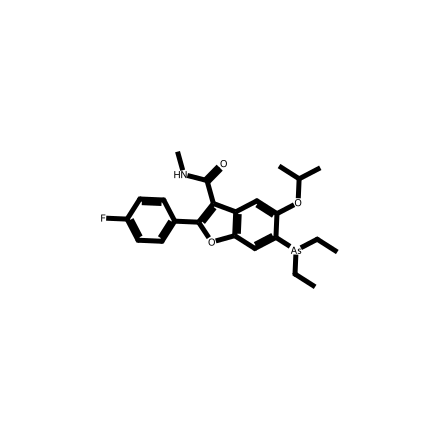 CC[As](CC)c1cc2oc(-c3ccc(F)cc3)c(C(=O)NC)c2cc1OC(C)C